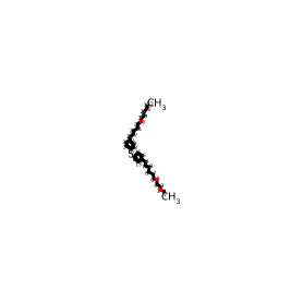 CCCCCCCCCCCCc1ccc(Sc2ccc(CCCCCCCCCCCC)cc2)cc1